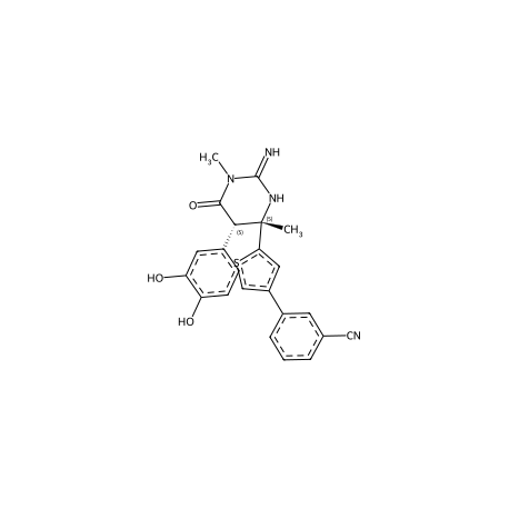 CN1C(=N)N[C@](C)(c2cc(-c3cccc(C#N)c3)cs2)[C@H](c2ccc(O)c(O)c2)C1=O